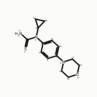 NC(=S)N(c1ccc(N2CCOCC2)cc1)C1CC1